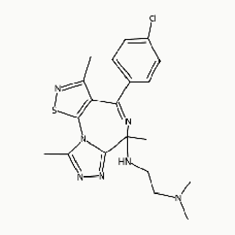 Cc1nsc2c1C(c1ccc(Cl)cc1)=NC(C)(NCCN(C)C)c1nnc(C)n1-2